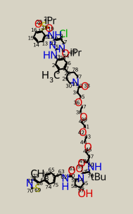 Cc1cc(Nc2ncc(Cl)c(Nc3ccccc3S(=O)(=O)C(C)C)n2)c(OC(C)C)cc1C1CCN(C(=O)CCOCCOCCOCCOCCC(=O)N[C@H](C(=O)N2C[C@H](O)C[C@H]2C(=O)NCc2ccc(-c3scnc3C)cc2)C(C)(C)C)CC1